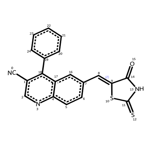 N#Cc1cnc2ccc(/C=C3\SC(=S)NC3=O)cc2c1-c1ccccc1